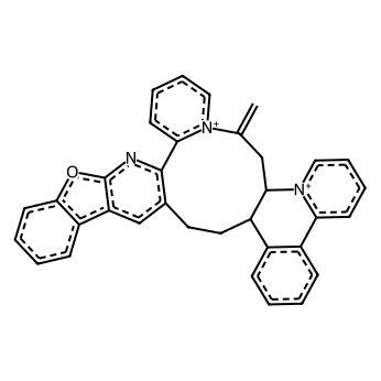 C=C1CC2C(CCc3cc4c(nc3-c3cccc[n+]31)oc1ccccc14)c1ccccc1-c1cccc[n+]12